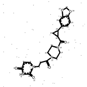 O=C(CCn1ccc(=O)[nH]c1=O)N1CCN(C(=O)C2CC2c2ccc3c(c2)OCO3)CC1